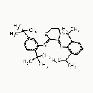 CC(C)c1cccc(C(C)C)c1N=C1SCCSC1=Nc1cc(C(C)(C)C)ccc1C(C)(C)C